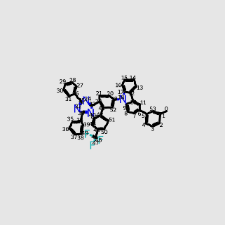 Cc1cccc(-c2ccc3c(c2)c2ccccc2n3-c2ccc(-c3nc(-c4ccccc4)nc(-c4ccccc4)n3)c(-c3ccc(C(F)(F)F)cc3)c2)c1